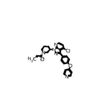 C=CC(=O)N1CCCC(n2nc(-c3ccc(Oc4ccncc4)cc3)c3c(Cl)ccnc32)C1